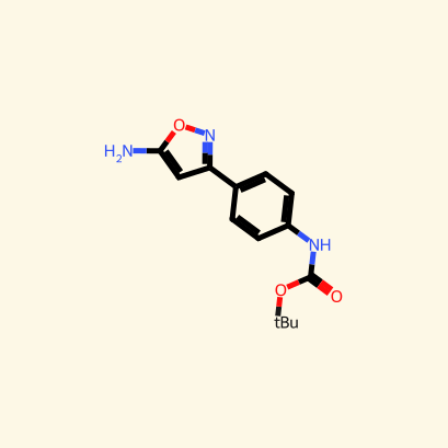 CC(C)(C)OC(=O)Nc1ccc(-c2cc(N)on2)cc1